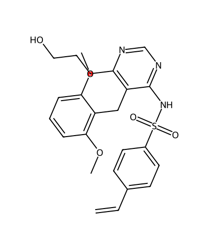 C=Cc1ccc(S(=O)(=O)Nc2ncnc(CCCO)c2Cc2c(OC)cccc2OC)cc1